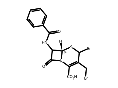 O=C(O)C1=C(CBr)C(Br)S[C@H]2C(NC(=O)c3ccccc3)C(=O)N12